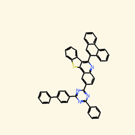 c1ccc(-c2ccc(-c3nc(-c4ccccc4)nc(-c4ccc5nc(-c6cc7ccccc7c7ccccc67)c6c7ccccc7sc6c5c4)n3)cc2)cc1